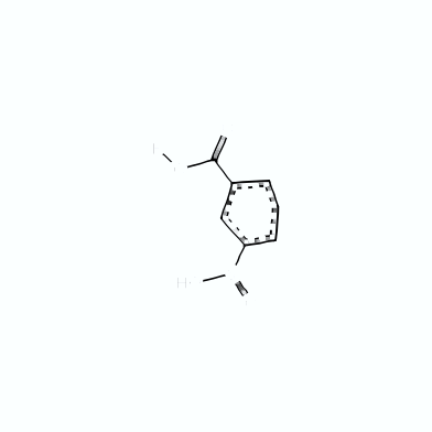 O=C(OF)c1cccc(S(=O)O)c1